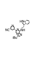 CCC(C)c1cnc2c(NCCC3=CNC4C=CC=CC34)nc(-c3cncc(C#N)c3)cn12